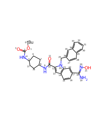 CC(C)(C)OC(=O)NC1CCC(NC(=O)c2cc3ccc(C(N)=NO)cc3n2Cc2ccc3ccccc3c2)CC1